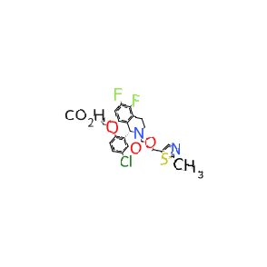 Cc1ncc(COC(=O)N2CCc3c(ccc(F)c3F)[C@H]2c2cc(Cl)ccc2OCC(=O)O)s1